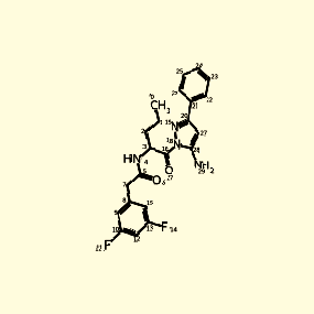 CCCC(NC(=O)Cc1cc(F)cc(F)c1)C(=O)n1nc(-c2ccccc2)cc1N